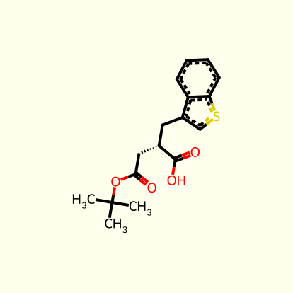 CC(C)(C)OC(=O)C[C@H](Cc1csc2ccccc12)C(=O)O